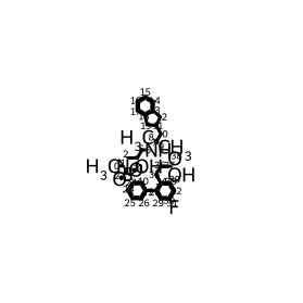 CN(C[C@H](O)CNC(C)(C)CC1Cc2ccccc2C1)S(=O)(=O)c1cccc(-c2cc(F)ccc2CCC(=O)O)c1